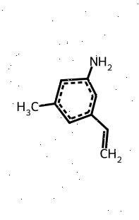 C=Cc1cc(C)cc(N)c1